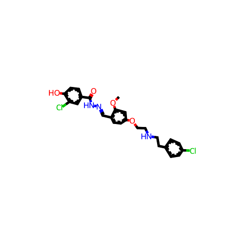 COc1cc(OCCNCCc2ccc(Cl)cc2)ccc1/C=N/NC(=O)c1ccc(O)c(Cl)c1